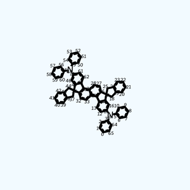 c1ccc(N(c2ccccc2)c2ccc3c(c2)C2(Cc4ccccc4C2)c2ccc4c5c(ccc4c2-3)C2(Cc3ccccc3C2)c2cc(N(c3ccccc3)c3ccccc3)ccc2-5)cc1